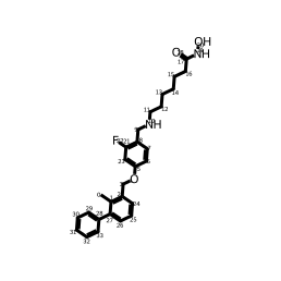 Cc1c(COc2ccc(CNCCCCCCC(=O)NO)c(F)c2)cccc1-c1ccccc1